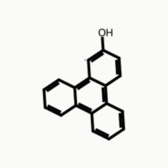 Oc1[c]c2c3ccccc3c3ccccc3c2cc1